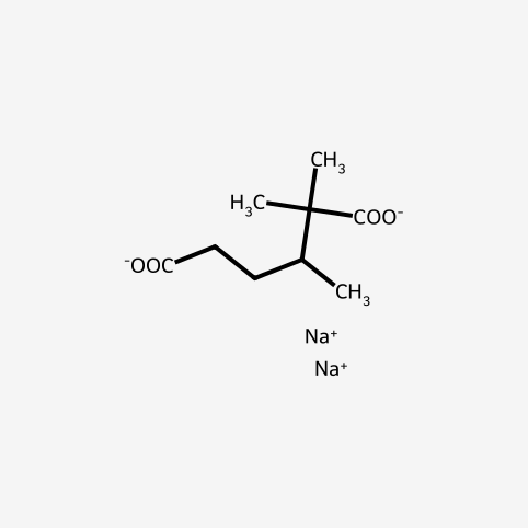 CC(CCC(=O)[O-])C(C)(C)C(=O)[O-].[Na+].[Na+]